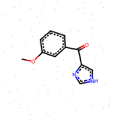 COc1cccc(C(=O)c2c[nH]cn2)c1